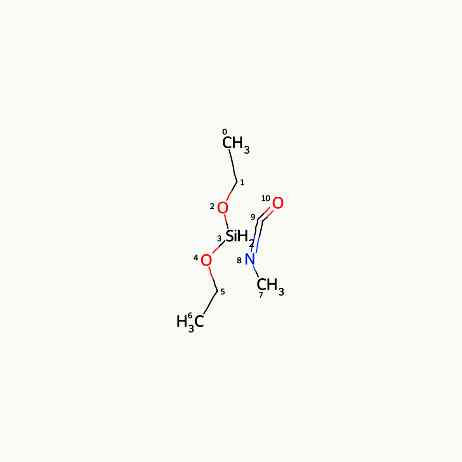 CCO[SiH2]OCC.CN=C=O